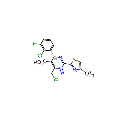 Cc1csc(C2=N[C@@H](c3cccc(F)c3Cl)C(C(=O)O)=C(CBr)N2)n1